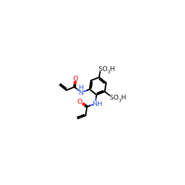 C=CC(=O)Nc1cc(S(=O)(=O)O)cc(S(=O)(=O)O)c1NC(=O)C=C